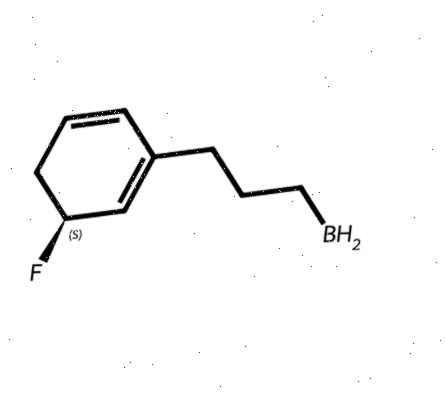 BCCCC1=C[C@@H](F)CC=C1